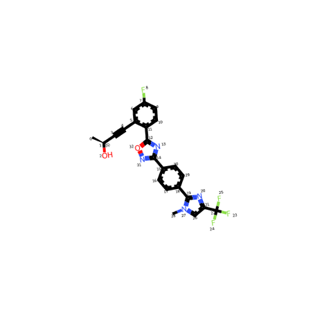 C[C@H](O)C#Cc1cc(F)ccc1-c1nc(-c2ccc(-c3nc(C(F)(F)F)cn3C)cc2)no1